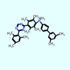 Cc1cc(C)cc(-c2ccc(N(C)c3c(C)c(C)c(-c4ncnc(-c5c(C)cc(C)cc5C)n4)c(C)c3C)cc2)c1